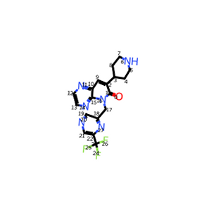 O=c1c(C2CCNCC2)cc2nccnc2n1Cc1cncc(C(F)(F)F)n1